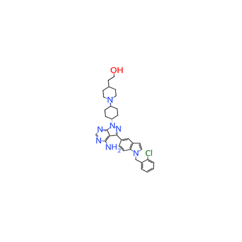 Nc1ncnc2c1c(-c1ccc3c(ccn3Cc3ccccc3Cl)c1)nn2[C@H]1CC[C@H](N2CCC(CCO)CC2)CC1